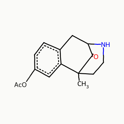 CC(=O)Oc1ccc2c(c1)C1(C)CCNC(C2)C1=O